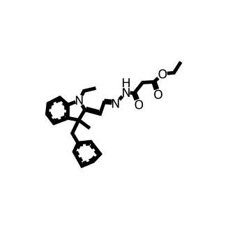 CCOC(=O)CC(=O)N/N=C/C=C1\N(CC)c2ccccc2C1(C)Cc1ccccc1